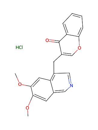 COc1cc2cncc(Cc3coc4ccccc4c3=O)c2cc1OC.Cl